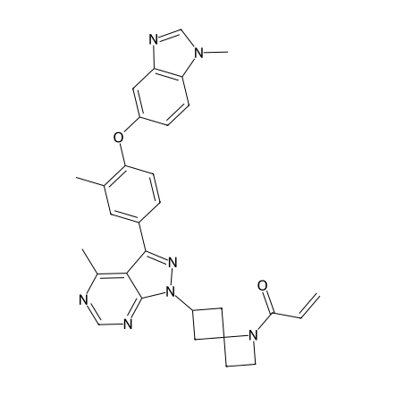 C=CC(=O)N1CCC12CC(n1nc(-c3ccc(Oc4ccc5c(c4)ncn5C)c(C)c3)c3c(C)ncnc31)C2